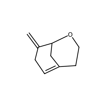 C=C1CC=C2CCOC1C2